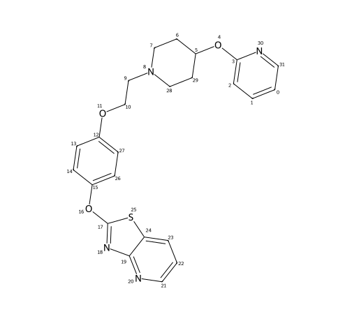 c1ccc(OC2CCN(CCOc3ccc(Oc4nc5ncccc5s4)cc3)CC2)nc1